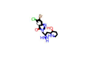 O=c1c2cc(Cl)c(Br)cc2ncn1CC1(CC2NCCCC2O)NN1